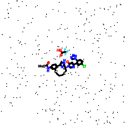 COC(=O)Nc1ccc2c(c1)CCCCCC[C@H](n1cnc(-c3cc(Cl)ccc3-n3cnnn3)cc1=O)c1nc-2c[nH]1.O=C(O)C(F)(F)F